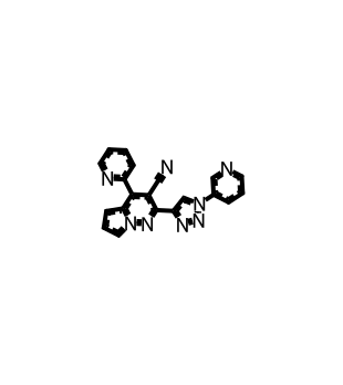 N#Cc1c(-c2cn(-c3cccnc3)nn2)nn2cccc2c1-c1ccccn1